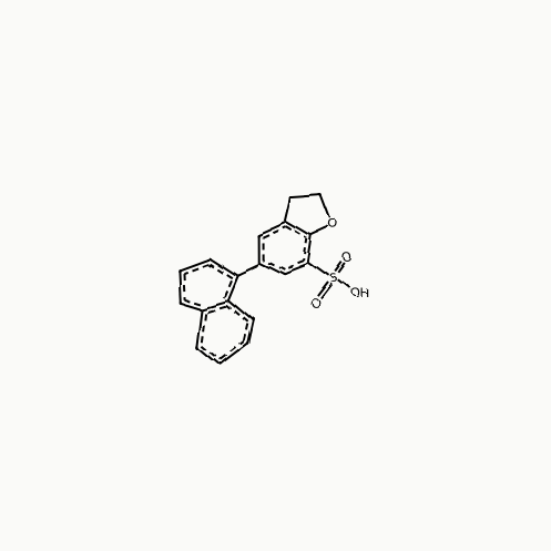 O=S(=O)(O)c1cc(-c2cccc3ccccc23)cc2c1OCC2